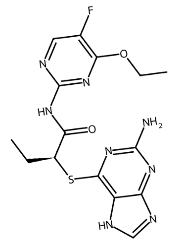 CCOc1nc(NC(=O)[C@H](CC)Sc2nc(N)nc3nc[nH]c23)ncc1F